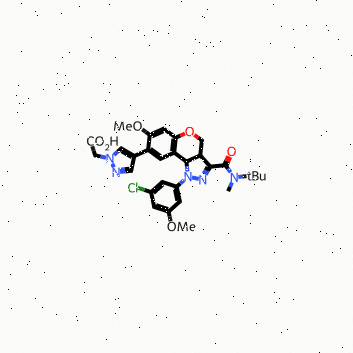 COc1cc(Cl)cc(N2N=C(C(=O)N(C)C(C)(C)C)C3COc4cc(OC)c(-c5cnn(CC(=O)O)c5)cc4C32)c1